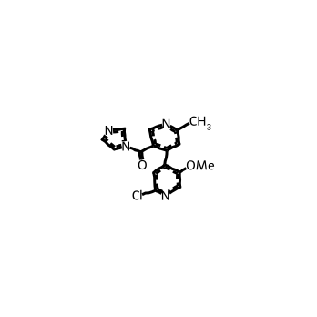 COc1cnc(Cl)cc1-c1cc(C)ncc1C(=O)n1ccnc1